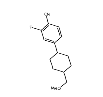 COCC1CCC(c2ccc(C#N)c(F)c2)CC1